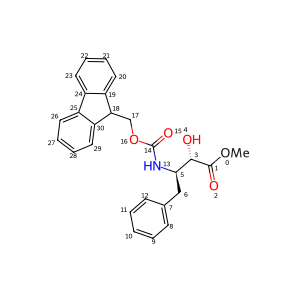 COC(=O)[C@@H](O)[C@@H](Cc1ccccc1)NC(=O)OCC1c2ccccc2-c2ccccc21